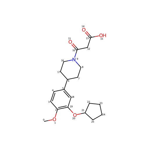 COc1ccc(C2CCN(C(=O)CC(=O)O)CC2)cc1OC1CCCC1